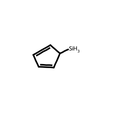 [SiH3]C1C=CC=C1